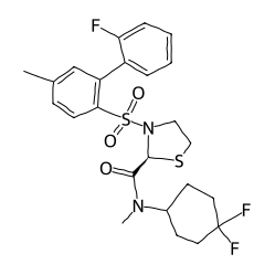 Cc1ccc(S(=O)(=O)N2CCS[C@H]2C(=O)N(C)C2CCC(F)(F)CC2)c(-c2ccccc2F)c1